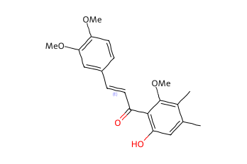 COc1ccc(/C=C/C(=O)c2c(O)cc(C)c(C)c2OC)cc1OC